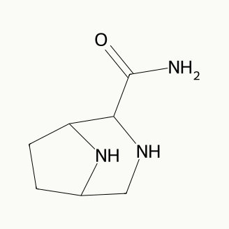 NC(=O)C1NCC2CCC1N2